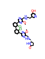 COc1nc(-c2cccc(-c3cccc(-c4cnc(CNC[C@@H]5CCC(=O)N5)c(OC)n4)c3Cl)c2Cl)cnc1CNCCc1cncc(O)c1